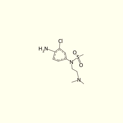 CN(C)CCN(c1ccc(N)c(Cl)c1)S(C)(=O)=O